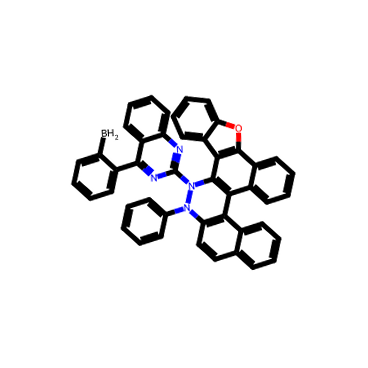 Bc1ccccc1-c1nc(N2c3c(c4ccccc4c4oc5ccccc5c34)-c3c(ccc4ccccc34)N2c2ccccc2)nc2ccccc12